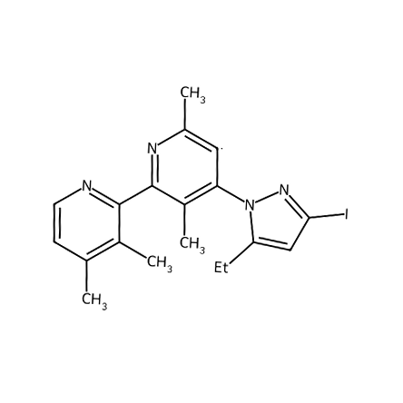 CCc1cc(I)nn1-c1[c]c(C)nc(-c2nccc(C)c2C)c1C